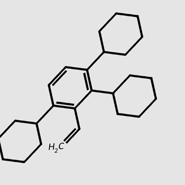 C=Cc1c(C2CCCCC2)ccc(C2CCCCC2)c1C1CCCCC1